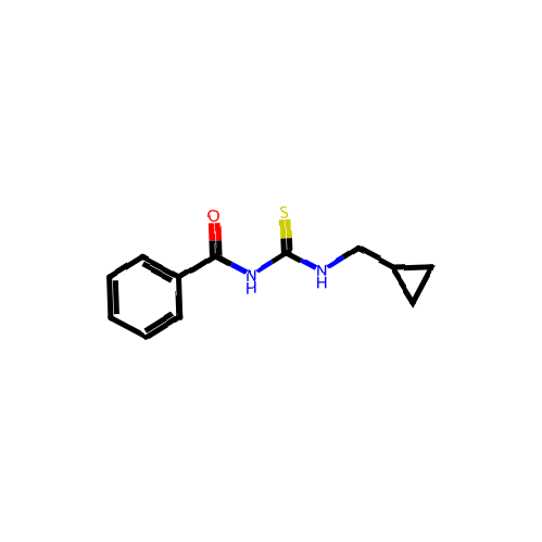 O=C(NC(=S)NCC1CC1)c1ccccc1